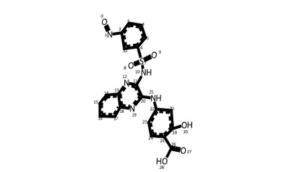 O=Nc1cccc(S(=O)(=O)Nc2nc3ccccc3nc2Nc2ccc(C(=O)O)c(O)c2)c1